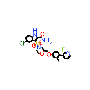 Cc1cc(OCC2CN(S(=O)(=O)c3c(C(N)=O)[nH]c4ccc(Cl)cc34)CCO2)ccc1-c1cccnc1F